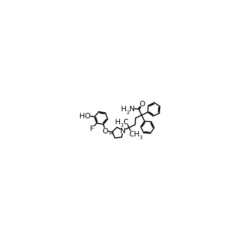 CC(C)(CCC(C(N)=O)(c1ccccc1)c1ccccc1)N1CC[C@@H](Oc2cccc(O)c2F)C1